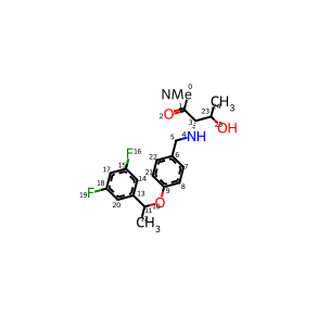 CNC(=O)[C@@H](NCc1ccc(OC(C)c2cc(F)cc(F)c2)cc1)C(C)O